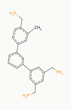 Cc1cc(-c2cccc(-c3cc(CP)cc(CP)c3)c2)ccc1CP